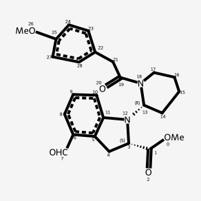 COC(=O)[C@@H]1Cc2c(C=O)cccc2N1[C@H]1CCCCN1C(=O)Cc1ccc(OC)cc1